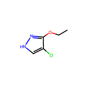 CCOc1n[nH]cc1Cl